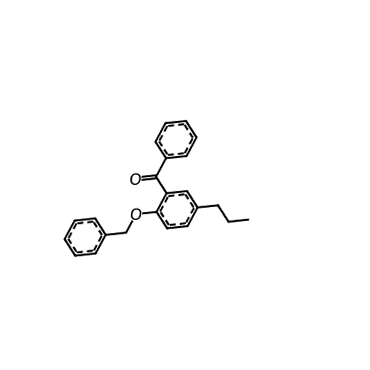 CCCc1ccc(OCc2ccccc2)c(C(=O)c2ccccc2)c1